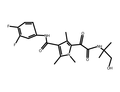 Cc1c(C(=O)Nc2ccc(F)c(F)c2)c(C)n(C)c1C(=O)C(=O)NC(C)(C)CO